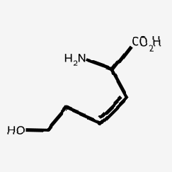 NC(/C=C\CCO)C(=O)O